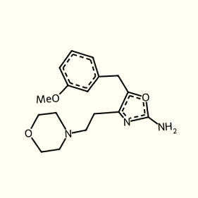 COc1cccc(Cc2oc(N)nc2CCN2CCOCC2)c1